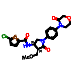 COC[C@@H]1C(=O)N(c2ccc(N3CCOCC3=O)cc2)C[C@@H]1NC(=O)c1ccc(Cl)s1